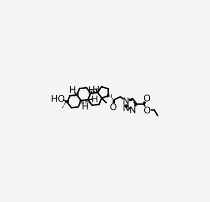 CCOC(=O)c1cn(CC(=O)[C@H]2CC[C@H]3[C@@H]4CC[C@@H]5C[C@](C)(O)CC[C@@H]5[C@H]4CCC23C)nn1